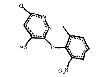 Cc1cccc([N+](=O)[O-])c1Oc1nnc(Cl)cc1O